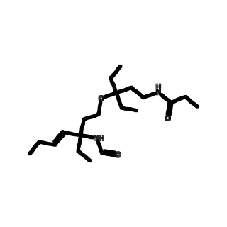 CCC=CC(CC)(CCOC(CC)(CC)CCNC(=O)CC)NC=O